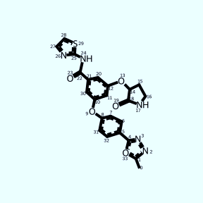 Cc1nnc(-c2ccc(Oc3cc(OC4CCNC4=O)cc(C(=O)Nc4nccs4)c3)cc2)o1